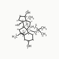 CC1=C2CC(O)CC[C@]2(CO[Si](C)(C)C)[C@@H]2CC[C@]3(C)C(O)CC[C@H]3[C@@H]2C1